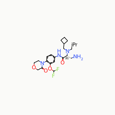 CC(C)CN(CC1CCC1)[C@H](CN)C(=O)Nc1ccc(N2CCOCC2=O)c(OC(F)F)c1